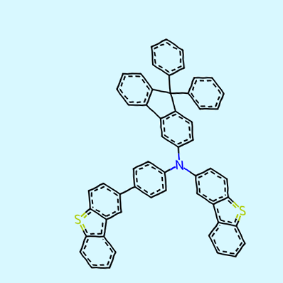 c1ccc(C2(c3ccccc3)c3ccccc3-c3cc(N(c4ccc(-c5ccc6sc7ccccc7c6c5)cc4)c4ccc5sc6ccccc6c5c4)ccc32)cc1